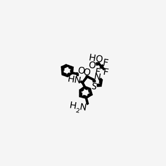 NCc1ccc(C(NC(=O)c2ccccc2)C(=O)c2nccs2)cc1.O=C(O)C(F)(F)F